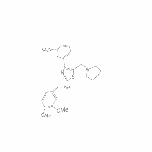 COc1ccc(CNc2nc(-c3cccc([N+](=O)[O-])c3)c(CN3CCCCC3)s2)cc1OC